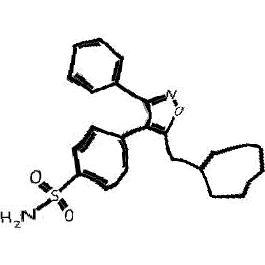 NS(=O)(=O)c1ccc(-c2c(-c3ccccc3)noc2CC2CCCCC2)cc1